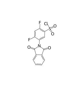 O=C1c2ccccc2C(=O)N1c1cc(S(=O)(=O)Cl)c(F)cc1F